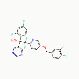 OC(c1cncnc1)(c1ccc(F)cc1F)C(F)(F)c1ccc(OCc2ccc(F)c(F)c2)cn1